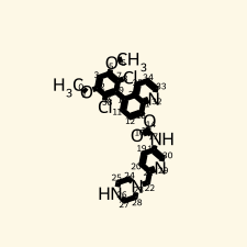 COc1cc(OC)c(Cl)c(-c2ccc(OC(=O)Nc3ccc(CN4CCNCC4)nc3)c3ncccc23)c1Cl